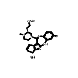 COCC[C@H]1CN(C2=Nc3ccc(F)cc3Nc3sc4c(c32)C=CCC4)CCN1C.Cl.Cl